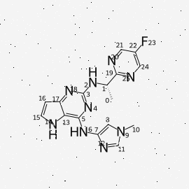 C[C@H](Nc1nc(Nc2cn(C)cn2)c2[nH]ccc2n1)c1ncc(F)cn1